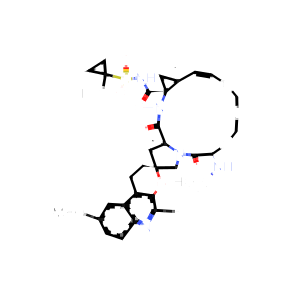 CCc1nc2ccc(OC)cc2c2c1O[C@]1(CC2)C[C@H]2C(=O)N[C@]3(C(=O)NS(=O)(=O)C4(C)CC4)C[C@H]3/C=C\CCCCC[C@H](NC(=O)O)C(=O)N2C1